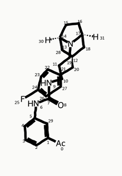 CC(=O)c1cccc(NC(=O)NCCCN2[C@@H]3CC[C@H]2C[C@@H](Cc2ccc(F)cc2)C3)c1